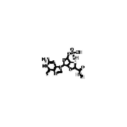 CCNC(=O)C1OC2C(OP(=O)(O)O)OC(n3cnc4c(=S)[nH]c(N)nc43)C2O1